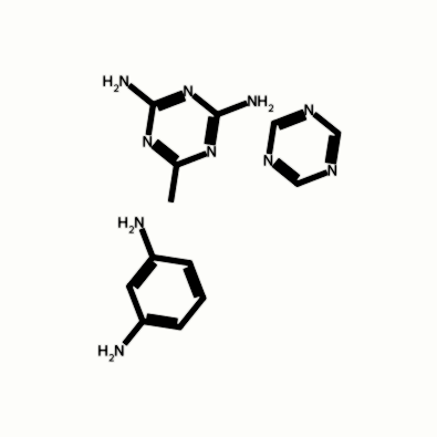 Cc1nc(N)nc(N)n1.Nc1cccc(N)c1.c1ncncn1